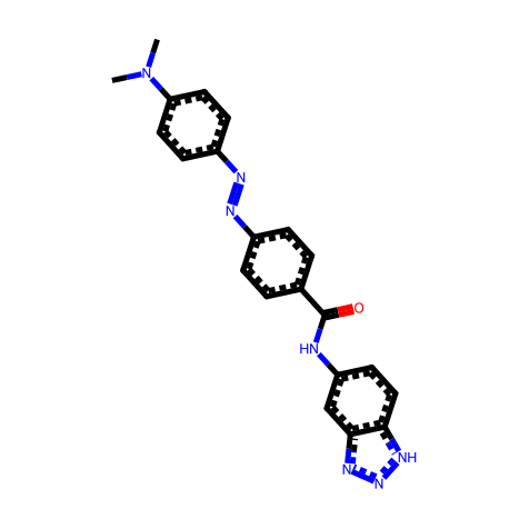 CN(C)c1ccc(N=Nc2ccc(C(=O)Nc3ccc4[nH]nnc4c3)cc2)cc1